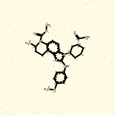 COC(=O)N1c2ccc3c(nc(Nc4ccc(OC)cc4)n3[C@@H]3CCC[C@@H](C(=O)O)C3)c2CCC1C